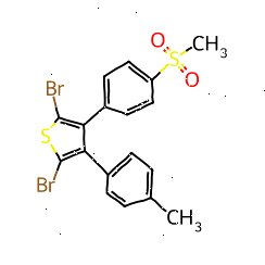 Cc1ccc(-c2c(Br)sc(Br)c2-c2ccc(S(C)(=O)=O)cc2)cc1